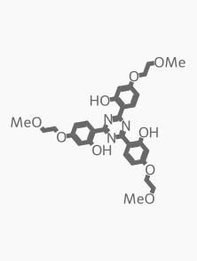 COCCOc1ccc(-c2nc(-c3ccc(OCCOC)cc3O)nc(-c3ccc(OCCOC)cc3O)n2)c(O)c1